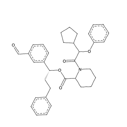 O=Cc1cccc([C@@H](CCc2ccccc2)OC(=O)C2CCCCN2C(=O)C(Oc2ccccc2)C2CCCC2)c1